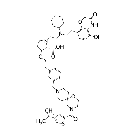 CC(C)c1csc(C(=O)N2CCOC3(CCN(Cc4cccc(CCOC5CCN(CCN(CCc6ccc(O)c7c6OCC(=O)N7)C6CCCCC6)[C@@H]5C(=O)O)c4)CC3)C2)c1